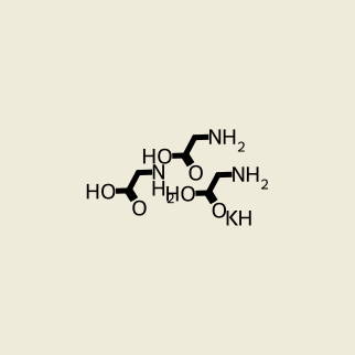 NCC(=O)O.NCC(=O)O.NCC(=O)O.[KH]